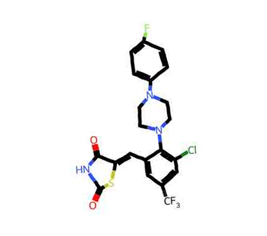 O=C1NC(=O)C(=Cc2cc(C(F)(F)F)cc(Cl)c2N2CCN(c3ccc(F)cc3)CC2)S1